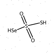 O=S(=O)(S)[SeH]